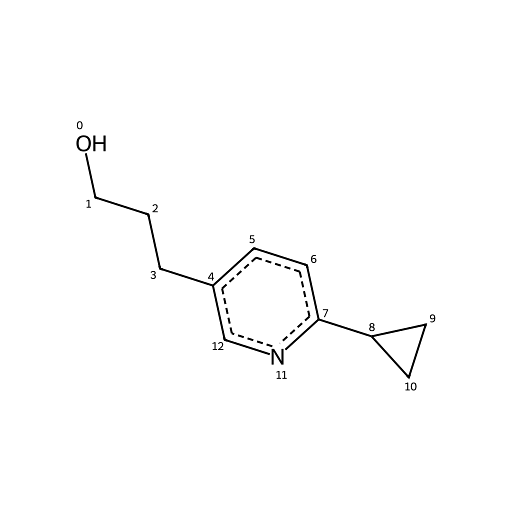 OCCCc1ccc(C2CC2)nc1